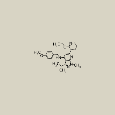 CCOC1=NCCC=C1c1cc(NCc2ccc(OC)cc2)c2c(C(C)C)nn(C)c2n1